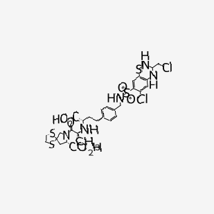 C[C@H](N[C@@H](CCc1ccc(CNS(=O)(=O)c2cc3c(cc2Cl)NC(CCl)NS3)cc1)C(=O)O)C(=O)N1CC2(C[C@H]1C(=O)O)SCCS2